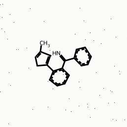 CC1=CCC(c2ccccc2C(=N)c2ccccc2)=C1